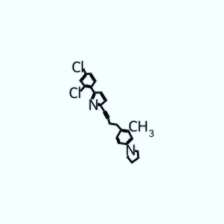 Cc1cc(N2CCCC2)ccc1CCC#Cc1ccc(-c2ccc(Cl)cc2Cl)cn1